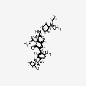 Cc1nc(NS(=O)(=O)c2ccccc2Cl)ccc1-c1cc2cnc(N[C@H]3CC[C@H](N(C)CCF)CC3)nc2n(C(C)C)c1=O